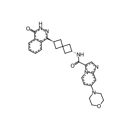 O=C(N[C@H]1CC2(C1)C[C@H](c1n[nH]c(=O)c3ccccc31)C2)c1cnc2cc(N3CCOCC3)ccn12